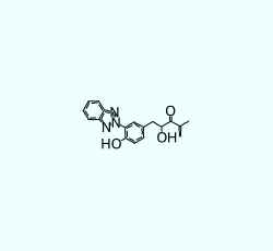 C=C(C)C(=O)C(O)Cc1ccc(O)c(-n2nc3ccccc3n2)c1